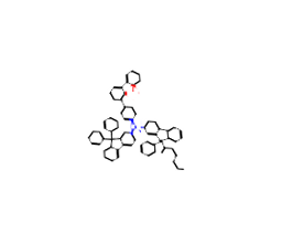 C=C(/C=C\C=C/C)C1(c2ccccc2)c2ccccc2-c2ccc(N(c3ccc(-c4cccc5c4oc4ccccc45)cc3)c3ccc4c(c3)C(c3ccccc3)(c3ccccc3)c3ccccc3-4)cc21